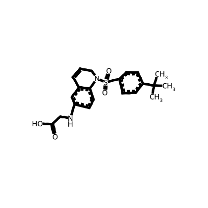 CC(C)(C)c1ccc(S(=O)(=O)N2CC=Cc3cc(NCC(=O)O)ccc32)cc1